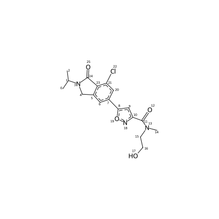 CC(C)N1Cc2cc(-c3cc(C(=O)N(C)CCO)no3)cc(Cl)c2C1=O